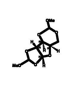 COC1OC[C@H]2O[C@@H]3OC(OC)O[C@@H]3[C@H]2O1